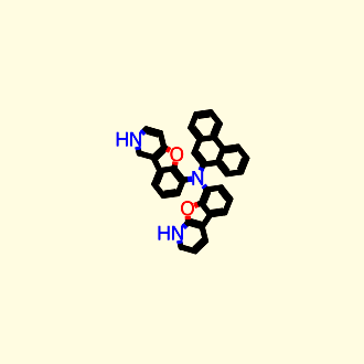 C1=Cc2c(oc3c(N(c4cc5ccccc5c5ccccc45)c4cccc5c6c(oc45)C=CNC6)cccc23)NC1